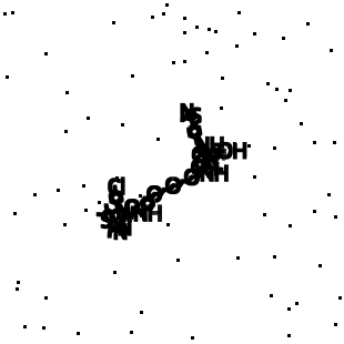 CCc1nnc2n1-c1sc(C)c(C)c1C(c1ccc(Cl)cc1)=N[C@H]2CC(=O)Nc1ccc(OCCCOCCCOCC(=O)N[C@H](C(=O)N2C[C@H](O)C[C@H]2C(=O)NCc2ccc(-c3scnc3C)cc2)C(C)(C)C)cc1